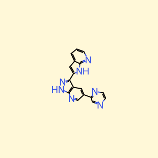 c1cnc2[nH]c(-c3n[nH]c4ncc(-c5cnccn5)cc34)cc2c1